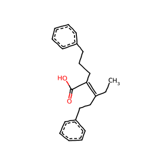 CCC(CCc1ccccc1)=C(CCCc1ccccc1)C(=O)O